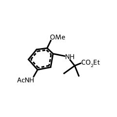 CCOC(=O)C(C)(C)Nc1cc(NC(C)=O)ccc1OC